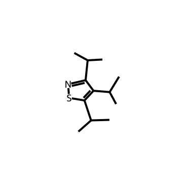 CC(C)c1nsc(C(C)C)c1C(C)C